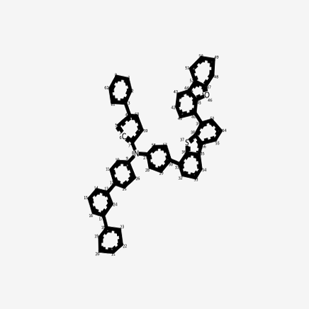 c1ccc(-c2ccc(N(c3ccc(-c4cccc(-c5ccccc5)c4)cc3)c3ccc(-c4cccc5c4sc4c(-c6cccc7c6oc6ccccc67)cccc45)cc3)cc2)cc1